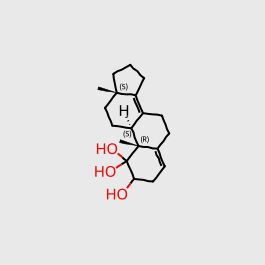 C[C@@]12CCCC1=C1CCC3=CCC(O)C(O)(O)[C@]3(C)[C@H]1CC2